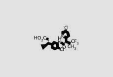 C[C@H]([C@H](C(=O)Nc1cc([C@@H](CC(=O)O)C2CC2)ccc1Cl)c1ccc(Cl)cn1)C(F)(F)F